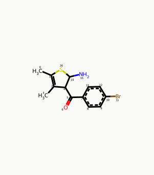 CC1=C(C)C(C(=O)c2ccc(Br)cc2)C(N)S1